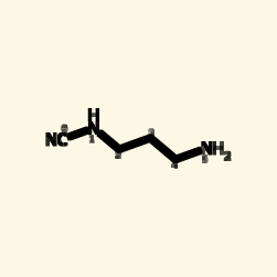 N#CNCCCN